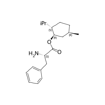 CC(C)[C@@H]1CC[C@@H](C)C[C@H]1OC(=O)[C@@H](N)Cc1ccccc1